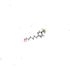 O=[C]CCCCCc1ccc(C(F)(F)F)cc1